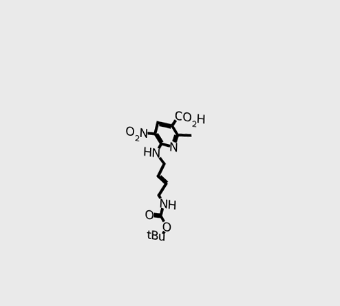 Cc1nc(NC/C=C/CNC(=O)OC(C)(C)C)c([N+](=O)[O-])cc1C(=O)O